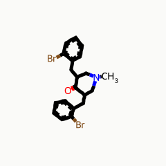 CN1CC(Cc2ccccc2Br)C(=O)C(Cc2ccccc2Br)C1